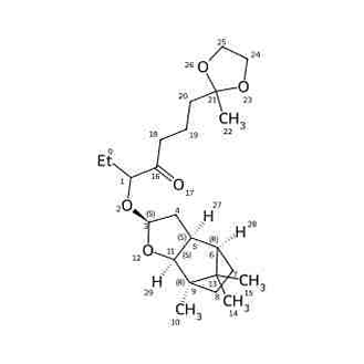 CCC(O[C@H]1C[C@H]2[C@H]3CC[C@@](C)([C@H]2O1)C3(C)C)C(=O)CCCC1(C)OCCO1